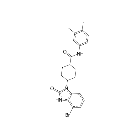 Cc1ccc(NC(=O)C2CCC(n3c(=O)[nH]c4c(Br)cccc43)CC2)cc1C